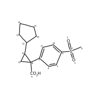 CS(=O)(=O)c1ccc(C2(C(=O)O)CC2C2CCCC2)cc1